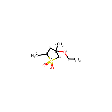 CCOC1(C)CC(C)S(=O)(=O)C1